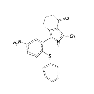 Cc1[nH]c(-c2cc(N)ccc2Sc2ccccc2)c2c1C(=O)CCC2